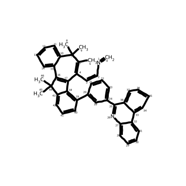 C=N/C=C\C1=C(C)C(C)(C)c2ccccc2C2=C1c1c(-c3cccc(-c4nc5ccccc5c5ccccc45)c3)cccc1C2(C)C